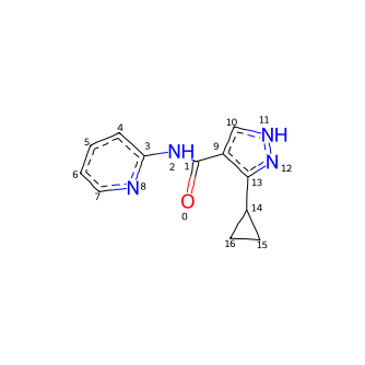 O=C(Nc1ccccn1)c1c[nH]nc1C1CC1